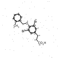 Cc1ccccc1COc1c(Br)cc(CCC(=O)O)cc1Br